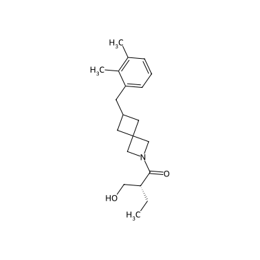 CC[C@H](CO)C(=O)N1CC2(CC(Cc3cccc(C)c3C)C2)C1